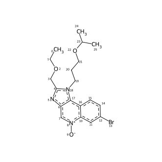 CCOCc1nc2c[n+]([O-])c3cc(Br)ccc3c2n1CCCOC(C)C